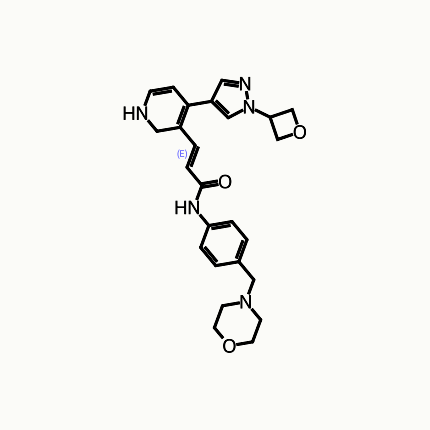 O=C(/C=C/C1=C(c2cnn(C3COC3)c2)C=CNC1)Nc1ccc(CN2CCOCC2)cc1